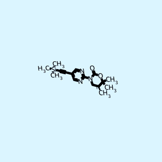 C[C@H]1CN(c2ncc(C#C[Si](C)(C)C)cn2)C(=O)OC1(C)C